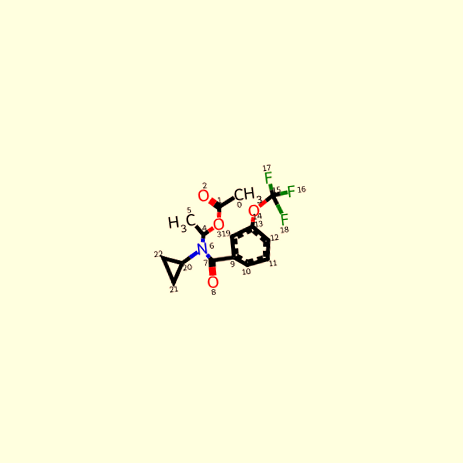 CC(=O)OC(C)N(C(=O)c1cccc(OC(F)(F)F)c1)C1CC1